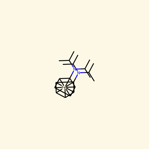 CC(C)N(C(C)C)[C]12[CH]3[CH]4[CH]5[CH]1[Fe]45321678[CH]2[CH]1[CH]6[C]7(N(C(C)C)C(C)C)[CH]28